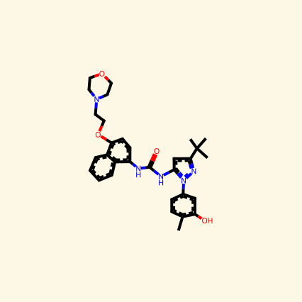 Cc1ccc(-n2nc(C(C)(C)C)cc2NC(=O)Nc2ccc(OCCN3CCOCC3)c3ccccc23)cc1O